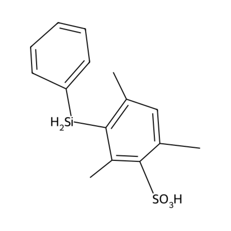 Cc1cc(C)c(S(=O)(=O)O)c(C)c1[SiH2]c1ccccc1